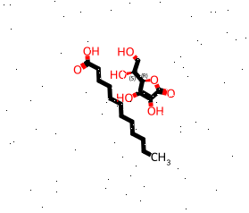 CCCCCCCCCCCC(=O)O.O=C1O[C@H]([C@@H](O)CO)C(O)=C1O